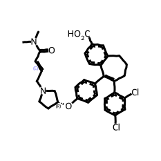 CN(C)C(=O)/C=C/CN1CC[C@@H](Oc2ccc(C3=C(c4ccc(Cl)cc4Cl)CCCc4cc(C(=O)O)ccc43)cc2)C1